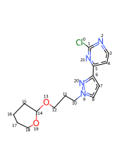 Clc1nccc(-c2ccn(CCCOC3CCCCO3)n2)n1